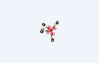 O=C(CCSC1CC2C=CC1C2)OCC(COC(=O)CCSC1CC2C=CC1C2)(COC(=O)CCSC1CC2C=CC1C2)COC(=O)CCSC1CC2C=C[C@@H]1C2